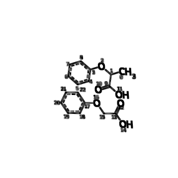 CC(Oc1ccccc1)C(=O)O.O=C(O)COc1ccccc1